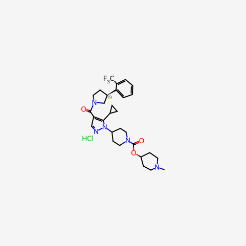 CN1CCC(OC(=O)N2CCC(n3ncc(C(=O)N4CC[C@@H](c5ccccc5C(F)(F)F)C4)c3C3CC3)CC2)CC1.Cl